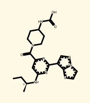 CC[C@H](C)Nc1cc(C(=O)N2CCC(NC(=O)O)CC2)nc(-c2cnn3ccsc23)n1